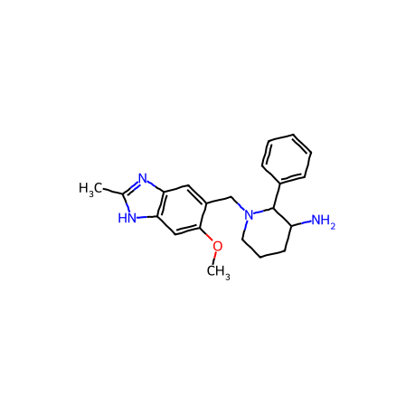 COc1cc2[nH]c(C)nc2cc1CN1CCCC(N)C1c1ccccc1